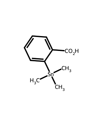 [CH3][Sn]([CH3])([CH3])[c]1ccccc1C(=O)O